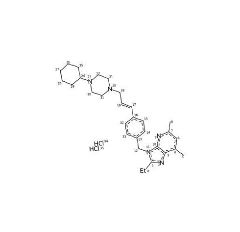 CCc1nc2c(C)cc(C)nc2n1Cc1ccc(/C=C/CN2CCN(C3CCCCC3)CC2)cc1.Cl.Cl